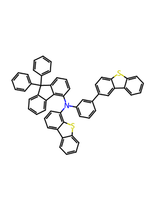 c1ccc(C2(c3ccccc3)c3ccccc3-c3c(N(c4cccc(-c5ccc6sc7ccccc7c6c5)c4)c4cccc5c4sc4ccccc45)cccc32)cc1